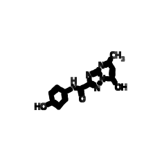 Cc1cc(O)n2nc(C(=O)Nc3ccc(O)cc3)nc2n1